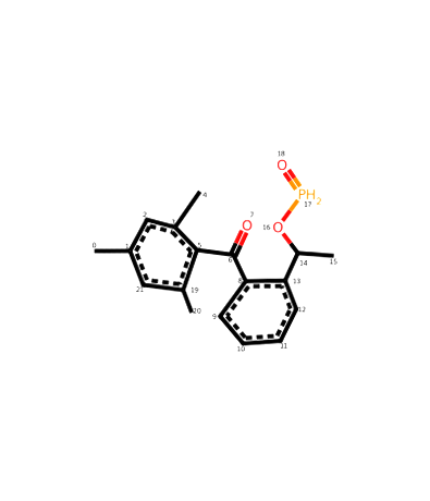 Cc1cc(C)c(C(=O)c2ccccc2C(C)O[PH2]=O)c(C)c1